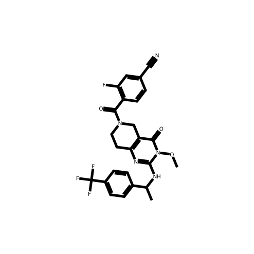 COn1c(NC(C)c2ccc(C(F)(F)F)cc2)nc2c(c1=O)CN(C(=O)c1ccc(C#N)cc1F)CC2